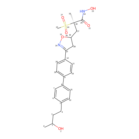 CC(O)CCc1ccc(-c2ccc(C3=NOC(C[C@](C)(C(=O)NO)S(C)(=O)=O)C3)cc2)cc1